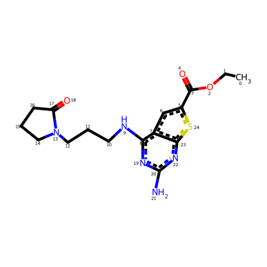 CCOC(=O)c1cc2c(NCCCN3CCCC3=O)nc(N)nc2s1